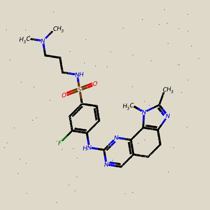 Cc1nc2c(n1C)-c1nc(Nc3ccc(S(=O)(=O)NCCCN(C)C)cc3F)ncc1CC2